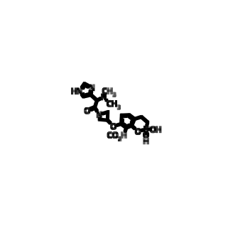 CN(C)C(C(=O)N1CC(Oc2ccc3c(c2C(=O)O)O[B-](O)(O)CC3)C1)c1c[nH]cn1